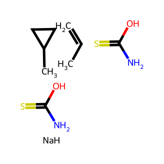 C=CC.CC1CC1.NC(O)=S.NC(O)=S.[NaH]